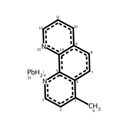 Cc1ccnc2c1ccc1cccnc12.[PbH2]